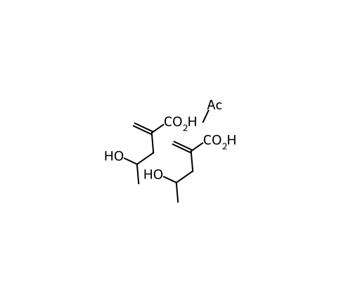 C=C(CC(C)O)C(=O)O.C=C(CC(C)O)C(=O)O.CC(C)=O